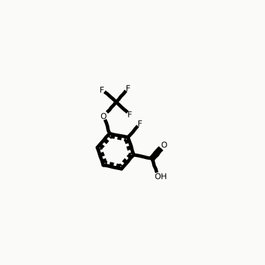 O=C(O)c1cccc(OC(F)(F)F)c1F